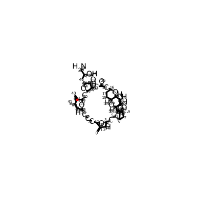 C=C1C[C@@H]2CC[C@@]34C[C@]5(C)O[C@H]6[C@@H](O3)[C@H]3OC(CC[C@@H]3O[C@H]6[C@H]5O4)CC(=O)C[C@H]3C(C[C@H]4O[C@@H](CCCC1O2)C[C@@H](C)C4=C)O[C@H](C[C@H](O)CN)[C@@H]3OC